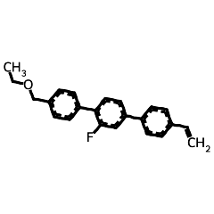 C=Cc1ccc(-c2ccc(-c3ccc(COCC)cc3)c(F)c2)cc1